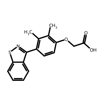 Cc1c(OCC(=O)O)ccc(-c2nsc3ccccc23)c1C